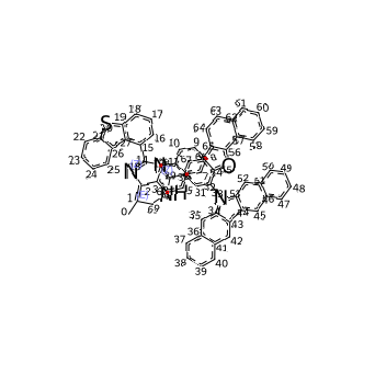 C\C1=C(c2ccc3ccccc3c2)/N=C(c2cccc3sc4ccccc4c23)\N=C(\c2cc(-n3c4cc5ccccc5cc4c4cc5ccccc5cc43)c3oc4c5ccccc5ccc4c3c2)NC1